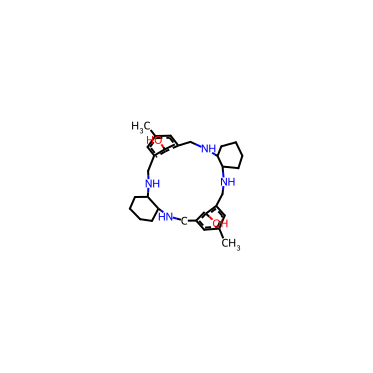 Cc1cc2c(O)c(c1)CNC1CCCCC1NCc1cc(C)cc(c1O)CNC1CCCCC1NC2